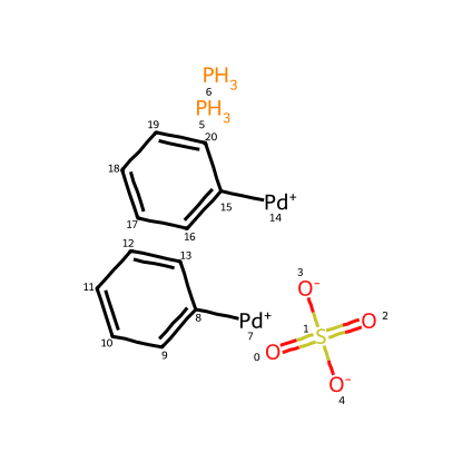 O=S(=O)([O-])[O-].P.P.[Pd+][c]1ccccc1.[Pd+][c]1ccccc1